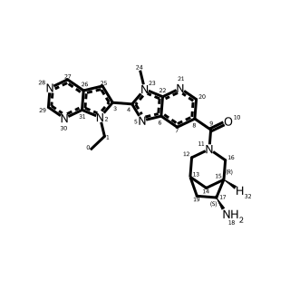 CCn1c(-c2nc3cc(C(=O)N4CC5C[C@H](C4)[C@@H](N)C5)cnc3n2C)cc2cncnc21